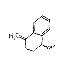 C=C1CC[C@H](O)c2ccccc21